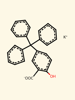 O=C([O-])c1cc(C(c2ccccc2)(c2ccccc2)c2ccccc2)ccc1O.[K+]